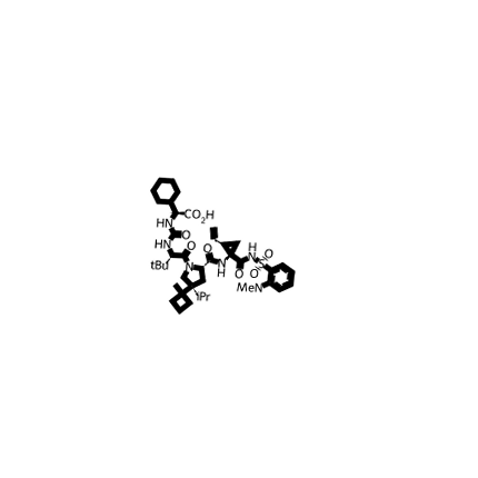 C=C[C@@H]1C[C@]1(NC(=O)[C@@H]1C[C@@](C(C)C)(C2(C)CCC2)CN1C(=O)[C@@H](NC(=O)N[C@H](C(=O)O)C1CCCCC1)C(C)(C)C)C(=O)NS(=O)(=O)c1ccccc1NC